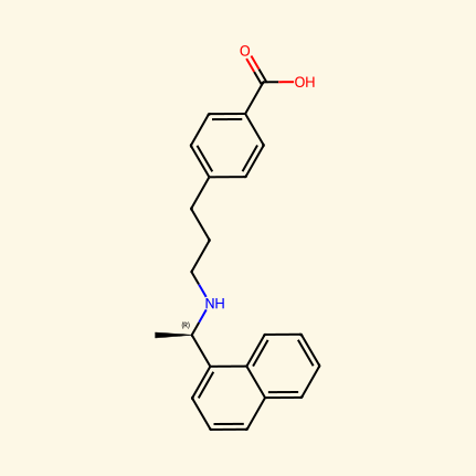 C[C@@H](NCCCc1ccc(C(=O)O)cc1)c1cccc2ccccc12